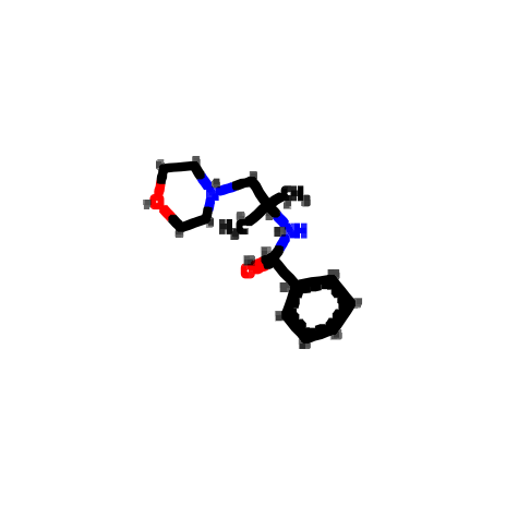 CC(C)(CN1CCOCC1)NC(=O)c1ccccc1